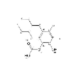 CCCCc1c(C)c(C)c(O)c(OC(=O)O)c1CCCC